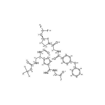 CC(=O)ONC(=N)c1csc(C(CNC(=O)OC(C)(C)C)NC(=O)[C@@H]2C[C@@H](OC(F)F)CN2C(=O)CNC(=O)c2ccc(Oc3ccccc3)cc2)c1